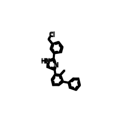 Cc1c(-c2ccccc2)cccc1-c1c[nH]c(-c2cccc(CCl)c2)n1